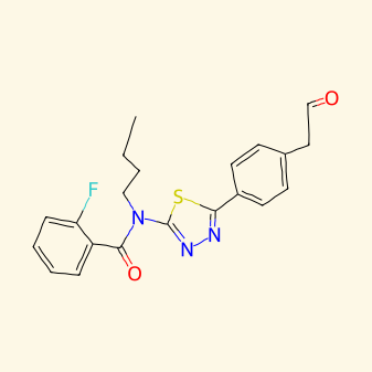 CCCCN(C(=O)c1ccccc1F)c1nnc(-c2ccc(CC=O)cc2)s1